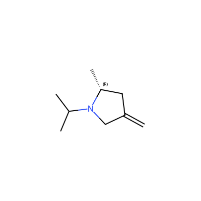 C=C1C[C@@H](C)N(C(C)C)C1